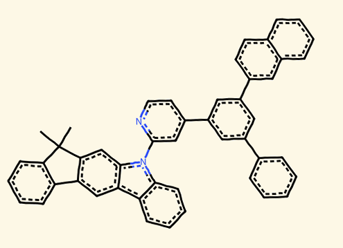 CC1(C)c2ccccc2-c2cc3c4ccccc4n(-c4cc(-c5cc(-c6ccccc6)cc(-c6ccc7ccccc7c6)c5)ccn4)c3cc21